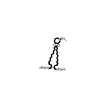 CCCCC/C=C\C/C=C\CCCCCCCCC1(CCCCCCCC/C=C\C/C=C\CCCCC)OC2CCCN(C)CC2O1